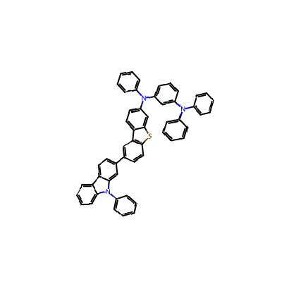 c1ccc(N(c2ccccc2)c2cccc(N(c3ccccc3)c3ccc4c(c3)sc3ccc(-c5ccc6c7ccccc7n(-c7ccccc7)c6c5)cc34)c2)cc1